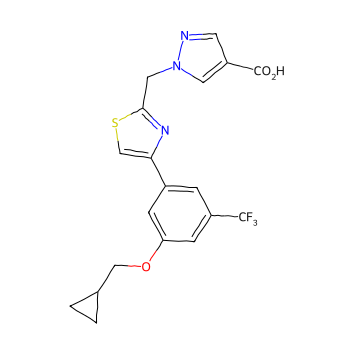 O=C(O)c1cnn(Cc2nc(-c3cc(OCC4CC4)cc(C(F)(F)F)c3)cs2)c1